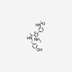 C=C(NCCc1ccc(O)cc1)c1sc(-c2cccc(NC(C)=O)c2)cc1N